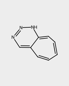 C1=CC=C2NN=NC=C2C=C1